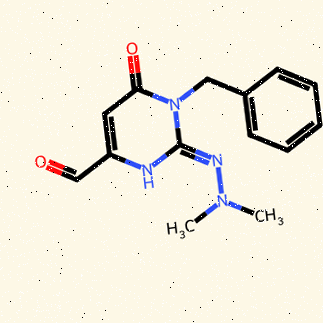 CN(C)N=c1[nH]c(C=O)cc(=O)n1Cc1ccccc1